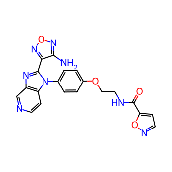 Nc1nonc1-c1nc2cnccc2n1-c1ccc(OCCNC(=O)c2ccno2)cc1